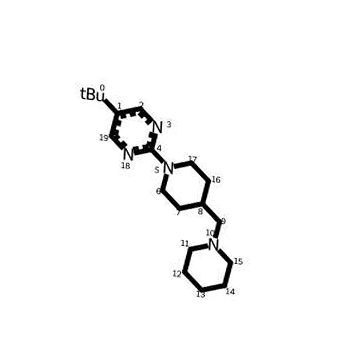 CC(C)(C)c1cnc(N2CCC(CN3CCCCC3)CC2)nc1